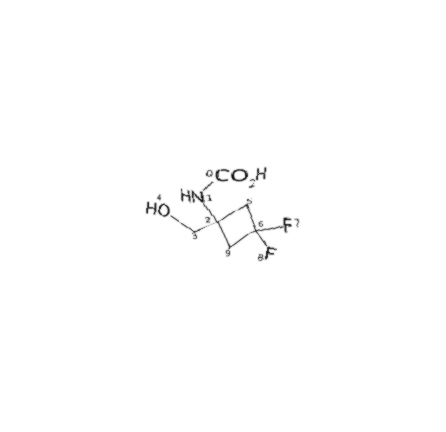 O=C(O)NC1(CO)CC(F)(F)C1